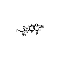 CC(C)C(C(=O)Nc1ccc(OC(C)(C)C)c(C(F)F)c1)C(C)(C)C